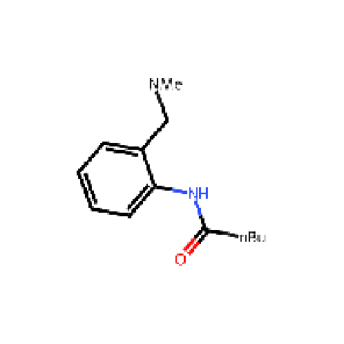 CCCCC(=O)Nc1ccccc1CNC